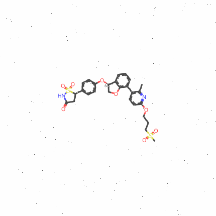 Cc1nc(OCCCS(C)(=O)=O)ccc1-c1cccc2c1OC[C@H]2Oc1ccc(C2CC(=O)NS2(=O)=O)cc1